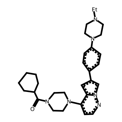 CCN1CCN(c2ccc(-c3cc4c(N5CCN(C(=O)C6CCCCC6)CC5)ccnn4c3)cc2)CC1